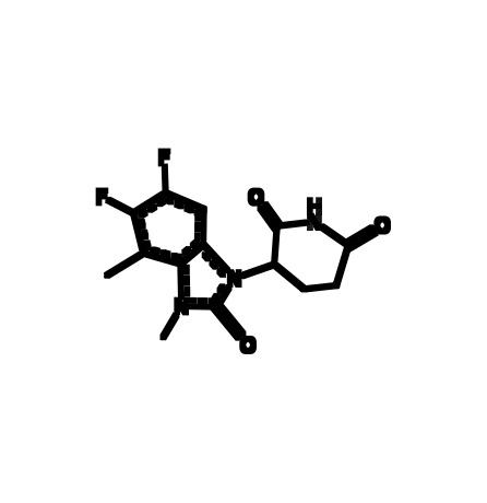 Cc1c(F)c(F)cc2c1n(C)c(=O)n2C1CCC(=O)NC1=O